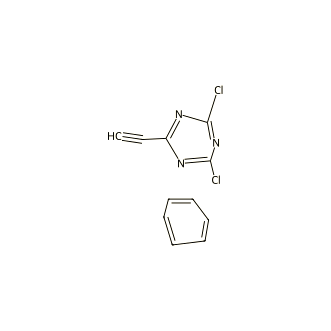 C#Cc1nc(Cl)nc(Cl)n1.c1ccccc1